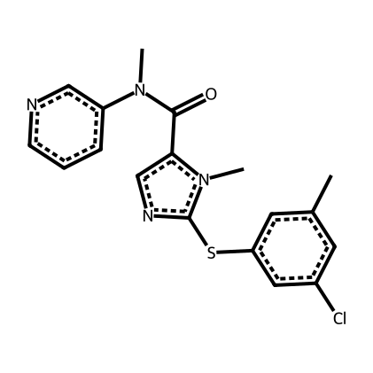 Cc1cc(Cl)cc(Sc2ncc(C(=O)N(C)c3cccnc3)n2C)c1